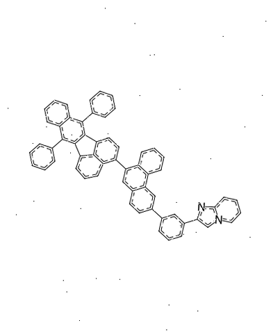 c1ccc(-c2c3c(c(-c4ccccc4)c4ccccc24)-c2ccc(-c4cc5ccc(-c6cccc(-c7cn8ccccc8n7)c6)cc5c5ccccc45)c4cccc-3c24)cc1